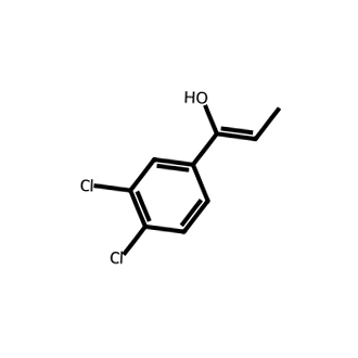 CC=C(O)c1ccc(Cl)c(Cl)c1